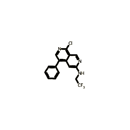 FC(F)(F)CNc1cc2c(-c3ccccc3)cnc(Cl)c2cn1